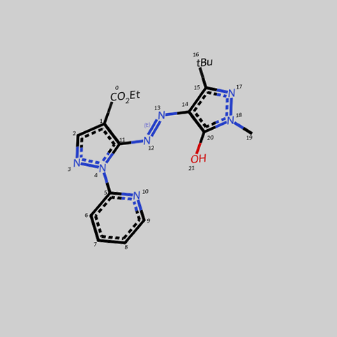 CCOC(=O)c1cnn(-c2ccccn2)c1/N=N/c1c(C(C)(C)C)nn(C)c1O